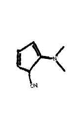 CN(C)C1=CC=CC1C#N